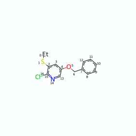 CCSc1cc(OCc2ccccc2)cnc1Cl